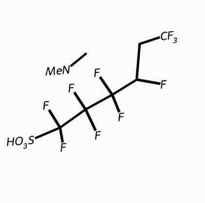 CNC.O=S(=O)(O)C(F)(F)C(F)(F)C(F)(F)C(F)CC(F)(F)F